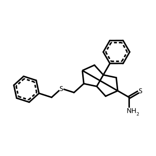 NC(=S)C12CC3C(CSCc4ccccc4)C1CC3(c1ccccc1)C2